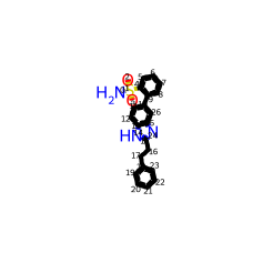 NS(=O)(=O)c1ccccc1-c1ccc2[nH]c(CCc3ccccc3)nc2c1